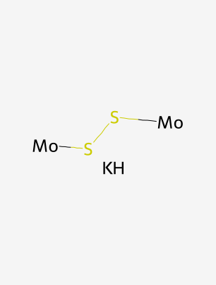 [KH].[Mo][S][S][Mo]